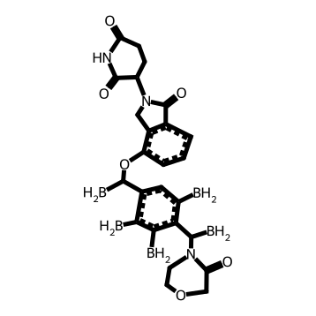 Bc1cc(C(B)Oc2cccc3c2CN(C2CCC(=O)NC2=O)C3=O)c(B)c(B)c1C(B)N1CCOCC1=O